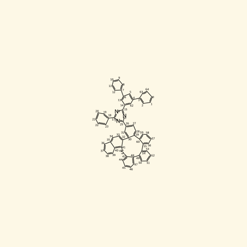 c1ccc(-c2cc(-c3ccccc3)cc(-c3nc(-c4ccccc4)nc(-c4ccc5c(c4)-c4ccc6ccccc6c4Sc4ccccc4-c4ccccc4-c4ccccc4-5)n3)c2)cc1